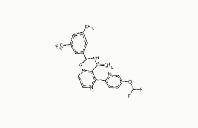 C[C@H](NC(=O)c1cc(C(F)(F)F)cc(C(F)(F)F)c1)c1nccnc1-c1ccc(OC(F)F)cn1